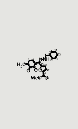 C=C1CC=C(C(=NNCc2ccccc2)c2ccc(C(=O)OC)o2)C(=O)C1=O